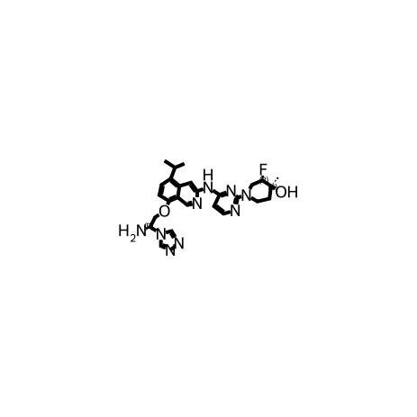 CC(C)c1ccc(OC[C@H](N)n2cnnc2)c2cnc(Nc3ccnc(N4CC[C@](C)(O)[C@H](F)C4)n3)cc12